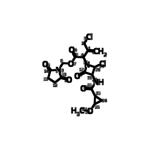 C=C(CCl)C(C(=O)OCN1C(=O)CCC1=O)N1C(=O)C(NC(=O)C2CC2OC)C1Cl